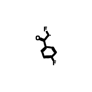 O=C([CH]F)c1ccc(F)cc1